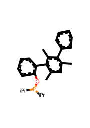 Cc1cc(C)c(-c2ccccc2OP(C(C)C)C(C)C)c(C)c1-c1ccccc1